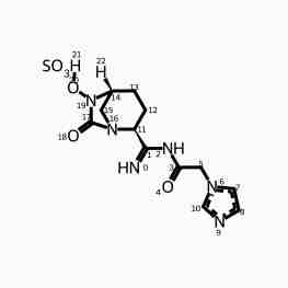 N=C(NC(=O)Cn1ccnc1)[C@@H]1CC[C@@H]2CN1C(=O)N2OS(=O)(=O)O